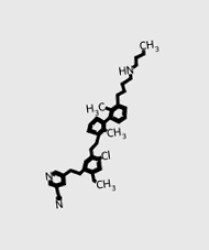 CCCCNCCCCc1cccc(-c2cccc(CCc3cc(CCc4cncc(C#N)c4)c(CC)cc3Cl)c2C)c1C